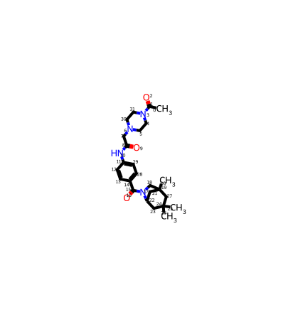 CC(=O)N1CCN(CC(=O)Nc2ccc(C(=O)N3CC4(C)CC3CC(C)(C)C4)cc2)CC1